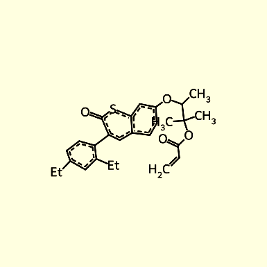 C=CC(=O)OC(C)(C)C(C)Oc1ccc2cc(-c3ccc(CC)cc3CC)c(=O)sc2c1